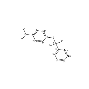 CC(C)c1cnc(CC(C)(C)c2cccnn2)cn1